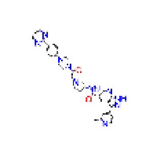 Cc1cc(-c2n[nH]c3ncc(C(=O)N[C@H]4CCN(CC(=O)N5CCN(c6ccc(-c7ncccn7)cc6)CC5)C4)cc23)ccn1